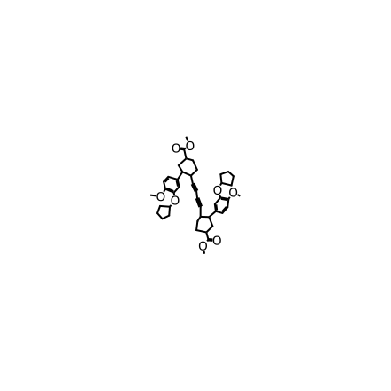 COC(=O)C1CCC(C#CC#CC2CCC(C(=O)OC)CC2c2ccc(OC)c(OC3CCCC3)c2)C(c2ccc(OC)c(OC3CCCC3)c2)C1